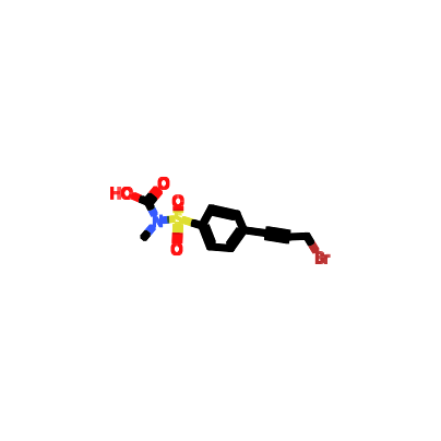 CN(C(=O)O)S(=O)(=O)c1ccc(C#CCBr)cc1